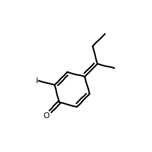 CC/C(C)=C1/C=CC(=O)C(I)=C1